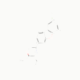 COC(=O)[C@H](CC(C)C)NC(c1ccc2c(c1)oc1ccc(F)cc12)C(F)(F)F